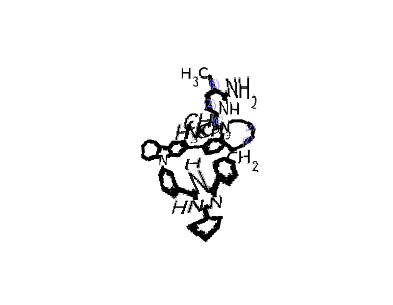 C=C1/C=C\C=C/CCN(/C(C)=C/C=C\C(=C/C)C(=N)N)c2cc(-c3cc4c(cc3N(C)C)c3c(n4-c4cccc(C5NC(c6ccccc6)=NC(c6ccccc6)N5)c4)=CCCCC=3)ccc21